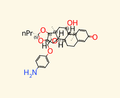 CCC[C@H]1O[C@@H]2C[C@H]3[C@@H]4CCC5=CC(=O)C=C[C@]5(C)[C@H]4[C@@H](O)C[C@]3(C)[C@]2(C(=O)COc2ccc(N)cc2)O1